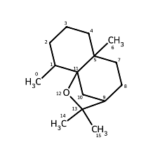 CC1CCCC2(C)CCC3CC12OC3(C)C